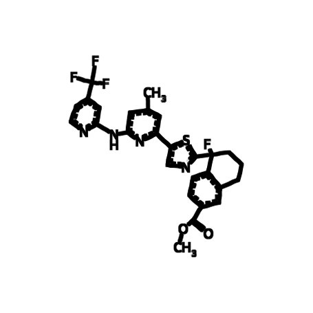 COC(=O)c1ccc2c(c1)CCCC2(F)c1ncc(-c2cc(C)cc(Nc3cc(C(F)(F)F)ccn3)n2)s1